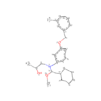 OC(CN(c1cccc(OCc2cccc(C(F)(F)F)c2)c1)C(OC(F)(F)F)C1CCCCC1)C(F)(F)F